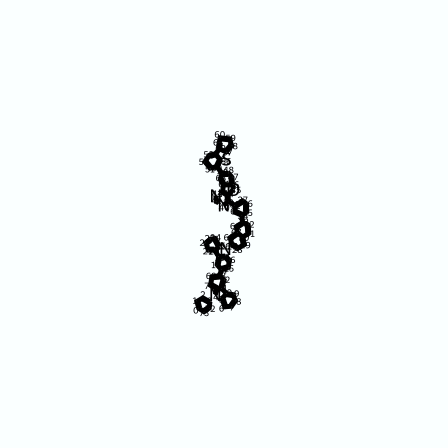 c1ccc(-n2c3ccccc3c3cc(-c4ccc5c(c4)c4ccccc4n5-c4ccc5ccc(-c6cccc(-c7ncnc8c7oc7ccc(-c9cccc%10c9sc9ccccc9%10)cc78)c6)cc5c4)ccc32)cc1